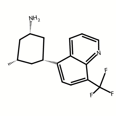 C[C@@H]1C[C@H](N)C[C@H](c2ccc(C(F)(F)F)c3ncccc23)C1